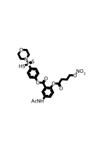 CC(=O)Nc1ccc(OC(=O)CCCO[N+](=O)[O-])c(C(=O)Oc2ccc(P(=S)(S)N3CCOCC3)cc2)c1